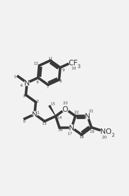 CN(CCN(C)c1ccc(C(F)(F)F)cc1)C[C@@]1(C)Cn2cc([N+](=O)[O-])nc2O1